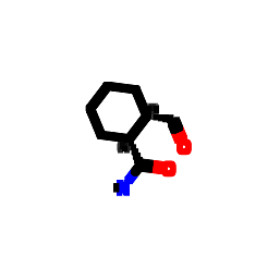 [N]C(=O)[C@@H]1CCCC[C@@H]1C=O